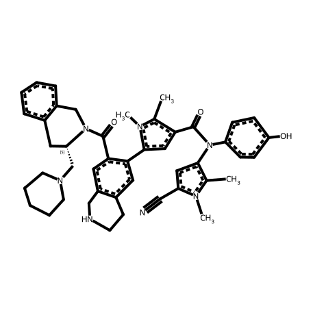 Cc1c(N(C(=O)c2cc(-c3cc4c(cc3C(=O)N3Cc5ccccc5C[C@H]3CN3CCCCC3)CNCC4)n(C)c2C)c2ccc(O)cc2)cc(C#N)n1C